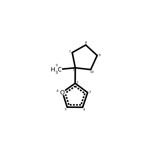 CC1(c2ccco2)CCCC1